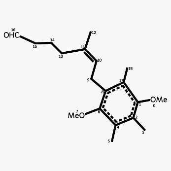 COc1c(C)c(C)c(OC)c(CC=C(C)CCCC=O)c1C